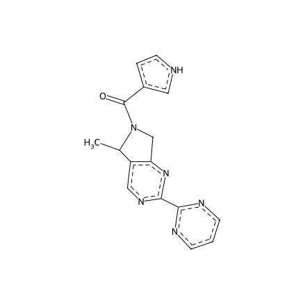 CC1c2cnc(-c3ncccn3)nc2CN1C(=O)c1cc[nH]c1